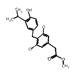 COC(=O)Cc1cc(Cl)c(Cc2ccc(O)c(C(C)C)c2)c(Cl)c1